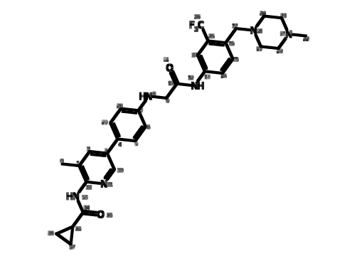 Cc1cc(-c2ccc(NCC(=O)Nc3ccc(CN4CCN(C)CC4)c(C(F)(F)F)c3)cc2)cnc1NC(=O)C1CC1